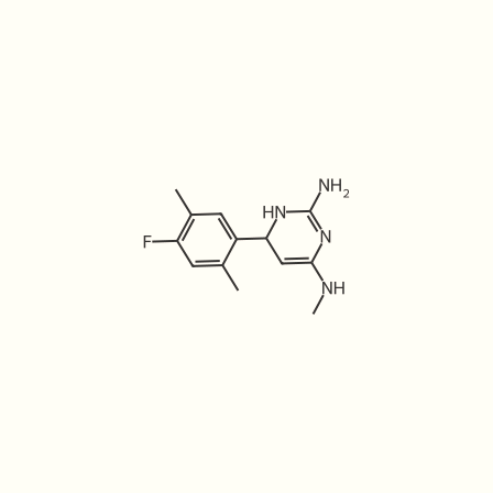 CNC1=CC(c2cc(C)c(F)cc2C)NC(N)=N1